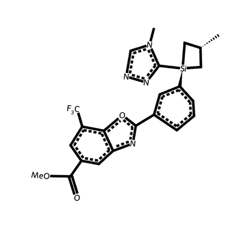 COC(=O)c1cc(C(F)(F)F)c2oc(-c3cccc([Si@]4(c5nncn5C)C[C@@H](C)C4)c3)nc2c1